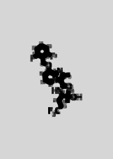 Cc1nc2c(OCc3c(F)cccc3F)cccn2c1C(=O)NC(CCC(F)(F)F)C(C)(C)O